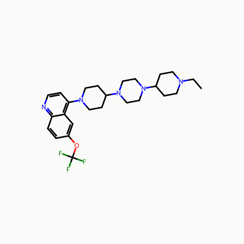 CCN1CCC(N2CCN(C3CCN(c4ccnc5ccc(OC(F)(F)F)cc45)CC3)CC2)CC1